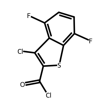 O=C(Cl)c1sc2c(F)ccc(F)c2c1Cl